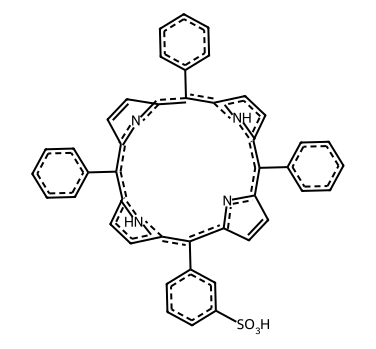 O=S(=O)(O)c1cccc(-c2c3nc(c(-c4ccccc4)c4ccc([nH]4)c(-c4ccccc4)c4nc(c(-c5ccccc5)c5ccc2[nH]5)C=C4)C=C3)c1